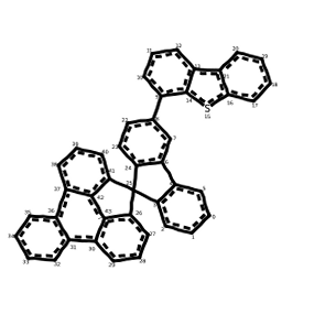 c1ccc2c(c1)-c1cc(-c3cccc4c3sc3ccccc34)ccc1C21c2cccc3c4ccccc4c4cccc1c4c23